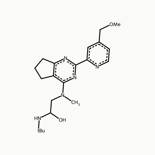 COCc1ccnc(-c2nc3c(c(N(C)CC(O)NC(C)(C)C)n2)CCC3)c1